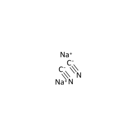 [C-]#N.[C-]#N.[Na+].[Na+]